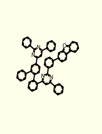 c1ccc(-c2cc(-c3ccc(-c4ccccc4-c4cc(-c5ccccc5)nc(-c5cccc(-c6ccc7c(c6)oc6ccccc67)c5)n4)c(-c4ccccc4)c3)nc(-c3ccccc3)n2)cc1